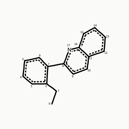 CCc1ccccc1-c1ccc2ccccc2n1